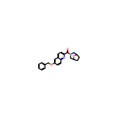 O=C(c1ccc2cc(OCc3ccccc3)ccc2n1)N1CC2CCC(C1)O2